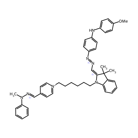 COc1ccc(Nc2ccc(/N=N/C=C3/N(CCCCCC[n+]4ccc(/C=N/N(C)c5ccccc5)cc4)c4ccccc4C3(C)C)cc2)cc1